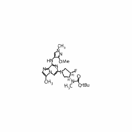 COc1nn(C)cc1Nc1nc(N2C[C@@H](F)[C@H](N(C)C(=O)OC(C)(C)C)C2)cn2c(C)cnc12